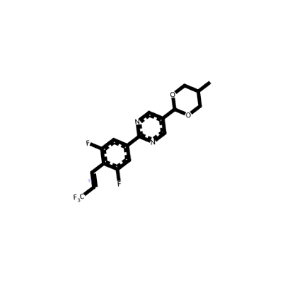 CC1COC(c2cnc(-c3cc(F)c(/C=C/C(F)(F)F)c(F)c3)nc2)OC1